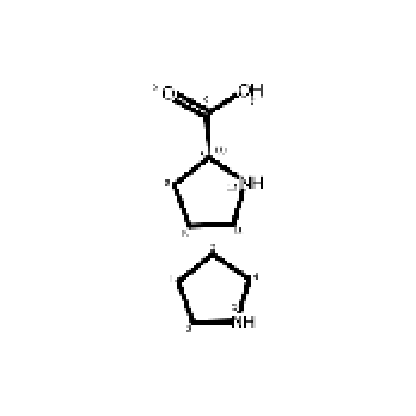 C1CCNC1.O=C(O)[C@@H]1CCCN1